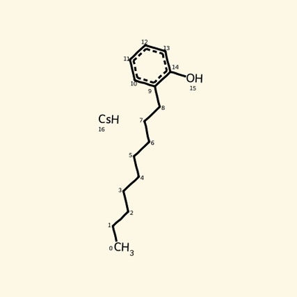 CCCCCCCCCc1ccccc1O.[CsH]